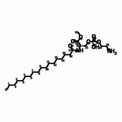 CCCCCCCCCCCCCCCCCC(=O)N[C@H](COP(=O)(O)OCCN)C(=O)OC